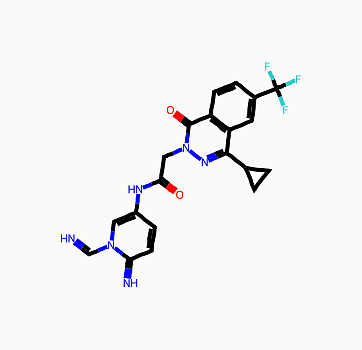 N=Cn1cc(NC(=O)Cn2nc(C3CC3)c3cc(C(F)(F)F)ccc3c2=O)ccc1=N